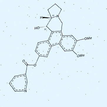 COc1cc2c3c(c4ccc(OC(=O)c5cccnc5)cc4c2cc1OC)[C@H](O)[C@@H]1CCCN1C3